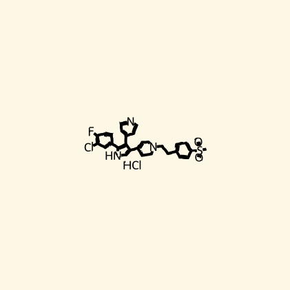 CS(=O)(=O)c1ccc(CCN2CC=C(c3c[nH]c(-c4ccc(F)c(Cl)c4)c3-c3ccncc3)CC2)cc1.Cl